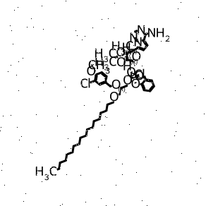 CCCCCCCCCCCCCCCCCCOC[C@H](COP(=O)(OC[C@H]1O[C@@](C)(c2ccc3c(N)ncnn23)[C@@H]2OC(C)(C)O[C@@H]21)Oc1ccccc1Cl)OCc1ccc(OC)c(Cl)c1